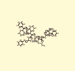 CCCCC(NC(=O)[C@@H]1C[C@@H](OCc2ccccc2)CN1C(=O)C(NC(=O)[C@@H]1CCCC[C@H]1C(=O)c1ccccc1)C1CCCCC1)C(=O)C(=O)NCC(=O)NC(C(N)=O)c1ccccc1